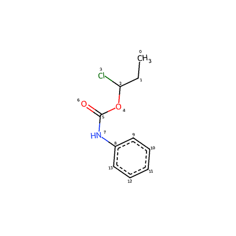 CCC(Cl)OC(=O)Nc1ccccc1